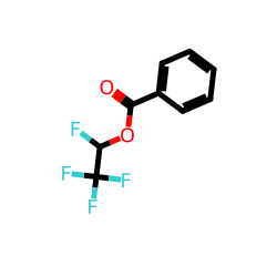 O=C(OC(F)C(F)(F)F)c1ccccc1